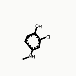 [CH2]Nc1ccc(O)c(Cl)c1